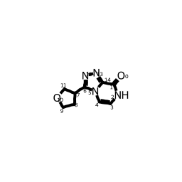 O=c1[nH]ccn2c(C3CCOC3)nnc12